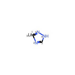 [LiH].c1nc[nH]n1